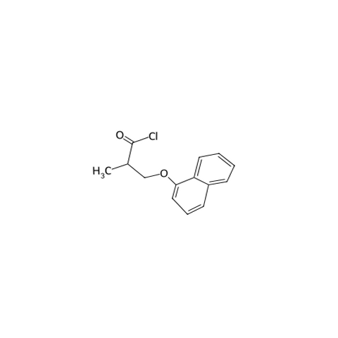 CC(COc1cccc2ccccc12)C(=O)Cl